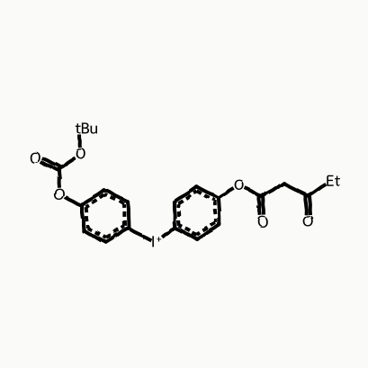 CCC(=O)CC(=O)Oc1ccc([I+]c2ccc(OC(=O)OC(C)(C)C)cc2)cc1